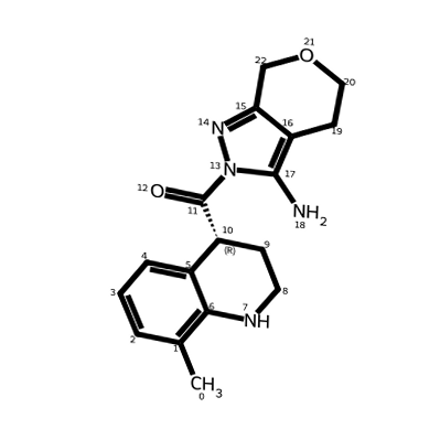 Cc1cccc2c1NCC[C@H]2C(=O)n1nc2c(c1N)CCOC2